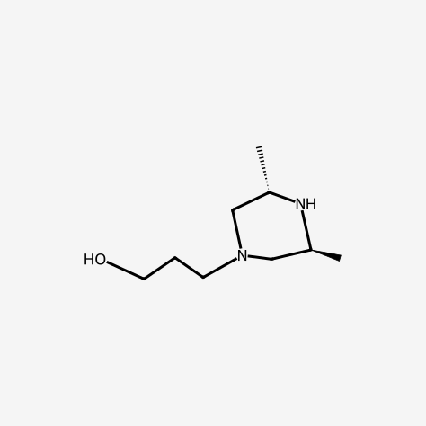 C[C@H]1CN(CCCO)C[C@H](C)N1